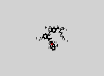 CCOCCN(C)C(=O)c1ccc(COc2ccc(C)cc2-c2csc(N3C[C@H]4CC[C@@H](C3)C4C(=O)O)n2)c(C)c1